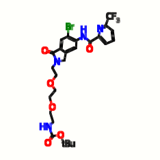 CC(C)(C)OC(=O)NCCOCCOCCN1Cc2cc(NC(=O)c3cccc(C(F)(F)F)n3)c(Br)cc2C1=O